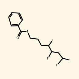 O=C(SCCCC(F)C(F)CC(F)F)c1ccccc1